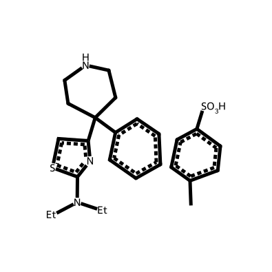 CCN(CC)c1nc(C2(c3ccccc3)CCNCC2)cs1.Cc1ccc(S(=O)(=O)O)cc1